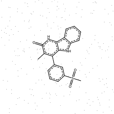 Cc1c(-c2cccc(S(C)(=O)=O)c2)c2[nH]c3ccccc3c2[nH]c1=O